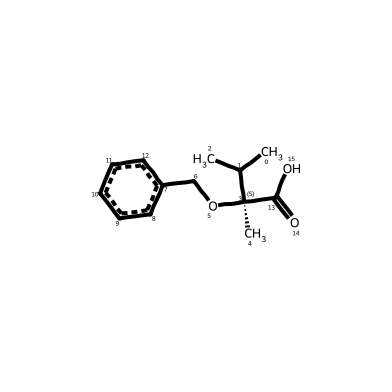 CC(C)[C@](C)(OCc1ccccc1)C(=O)O